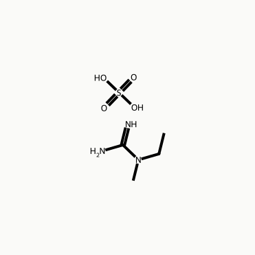 CCN(C)C(=N)N.O=S(=O)(O)O